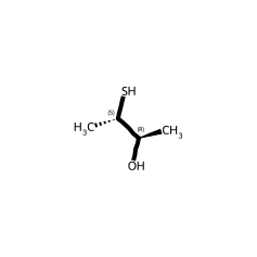 C[C@H](S)[C@@H](C)O